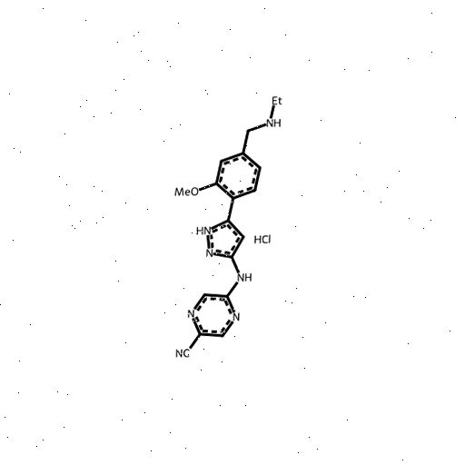 CCNCc1ccc(-c2cc(Nc3cnc(C#N)cn3)n[nH]2)c(OC)c1.Cl